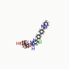 O[C@@H]1CO[C@H]2[C@@H]1OC[C@H]2Oc1nc2nc(-c3ccc(-c4ccc(-c5cn6ccccc6n5)cc4)cc3)c(Cl)cc2[nH]1